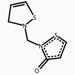 O=c1ccsn1CN1CC=CS1